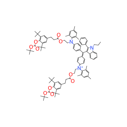 CCCn1c(-c2ccccc2)c(C(=C2C=CC(=[N+](CCOC(=O)CCc3cc(C(C)(C)C)c(OC(=O)OC(C)(C)C)c(C(C)(C)C)c3)c3c(C)cc(C)cc3C)C=C2)c2ccc(N(CCOC(=O)CCc3cc(C(C)(C)C)c(OC(=O)OC(C)(C)C)c(C(C)(C)C)c3)c3c(C)cc(C)cc3C)cc2)c2ccccc21